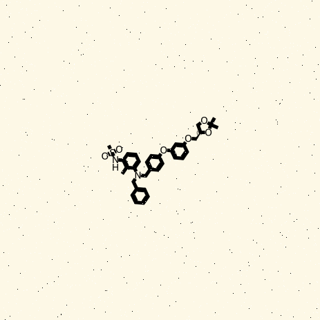 Cc1c(NS(C)(=O)=O)cccc1N(Cc1ccccc1)Cc1ccc(Oc2cccc(OC[C@H]3COC(C)(C)O3)c2)cc1